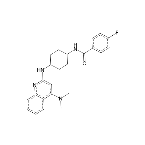 CN(C)c1cc(NC2CCC(NC(=O)c3ccc(F)cc3)CC2)nc2ccccc12